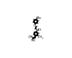 [C-]#[N+]C(=Cc1ccc(N(CC)CCOc2ccc(C(C)(C)C)cc2)cc1C)[N+]#[C-]